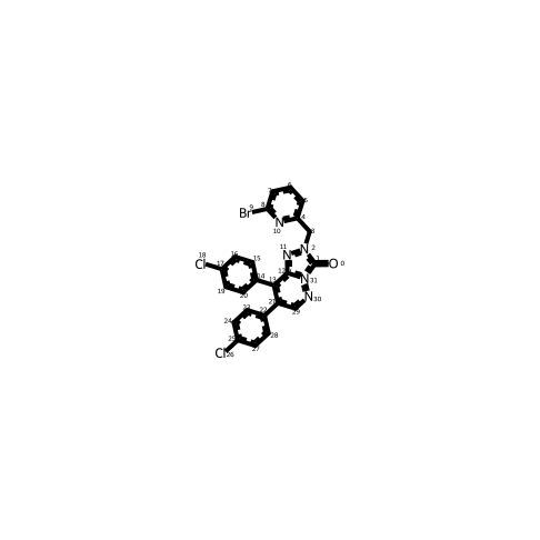 O=c1n(Cc2cccc(Br)n2)nc2c(-c3ccc(Cl)cc3)c(-c3ccc(Cl)cc3)cnn12